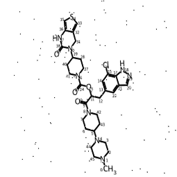 CN1CCN(C2CCN(C(=O)C(Cc3cc(Cl)c4[nH]ncc4c3)OC(=O)N3CCC(N4Cc5cscc5NC4=O)CC3)CC2)CC1